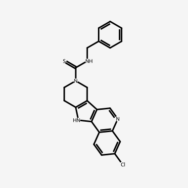 S=C(NCc1ccccc1)N1CCc2[nH]c3c(cnc4cc(Cl)ccc43)c2C1